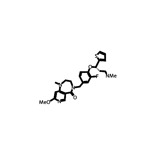 CNCC[C@H](Oc1ccc(CN2CCN(C)c3cc(OC)ncc3C2=O)cc1F)c1cccs1